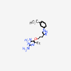 CCc1nc(N)nc(N)c1OCCCc1cn(-c2cccc(C(=O)O)c2)nn1